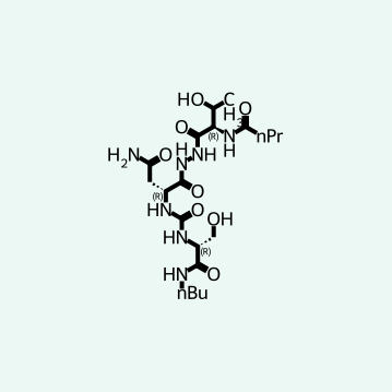 CCCCNC(=O)[C@@H](CO)NC(=O)N[C@H](CC(N)=O)C(=O)NNC(=O)[C@H](NC(=O)CCC)C(C)O